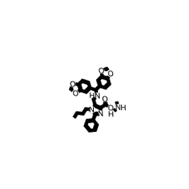 CCCCn1c(-c2ccccc2)nc(C(=O)O)c1CNC(c1ccc2c(c1)OCO2)c1ccc2c(c1)OCO2.CNC